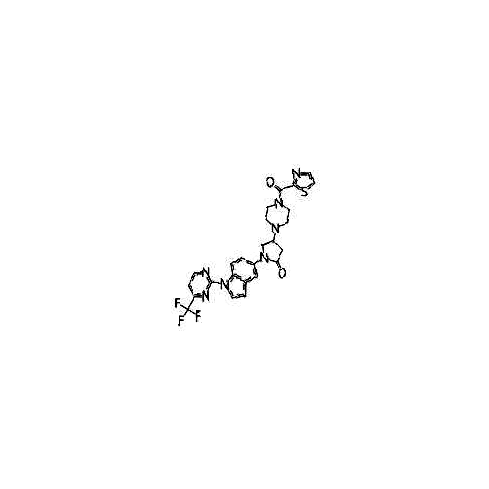 O=C(c1nccs1)N1CCN(C2CC(=O)N(c3ccc4c(ccn4-c4nccc(C(F)(F)F)n4)c3)C2)CC1